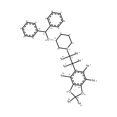 [2H]c1c([2H])c(C([2H])([2H])C([2H])([2H])N2CCC[C@@H](OC(c3ccccc3)c3ccccc3)C2)c([2H])c2c1OC([2H])([2H])O2